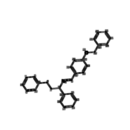 C(=NC(CCc1ccccc1)c1ccccc1)c1ccc(OCc2ccccc2)cc1